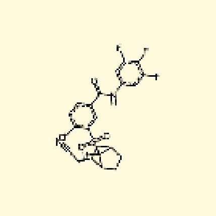 N#CC[C@H]1CC2CCC1[C@@H]2S(=O)(=O)c1cc(C(=O)Nc2cc(F)c(F)c(F)c2)ccc1Cl